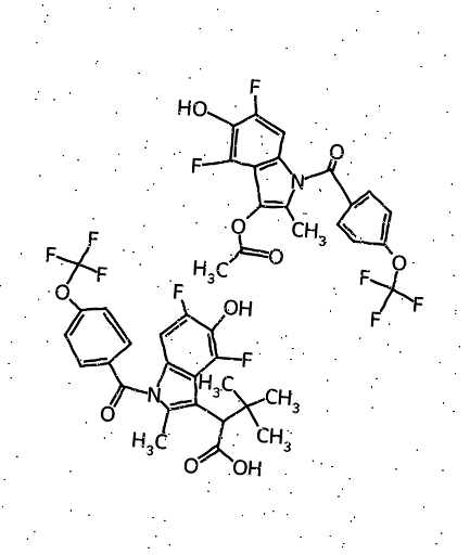 CC(=O)Oc1c(C)n(C(=O)c2ccc(OC(F)(F)F)cc2)c2cc(F)c(O)c(F)c12.Cc1c(C(C(=O)O)C(C)(C)C)c2c(F)c(O)c(F)cc2n1C(=O)c1ccc(OC(F)(F)F)cc1